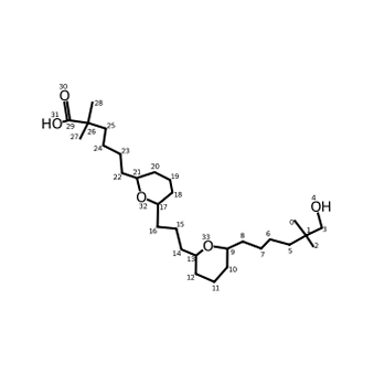 CC(C)(CO)CCCCC1CCCC(CCCC2CCCC(CCCCC(C)(C)C(=O)O)O2)O1